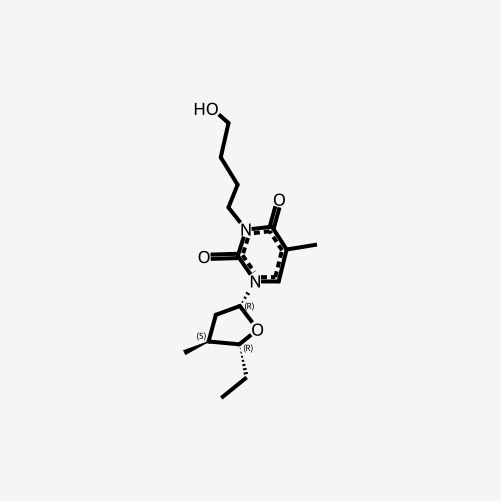 CC[C@H]1O[C@@H](n2cc(C)c(=O)n(CCCCO)c2=O)C[C@@H]1C